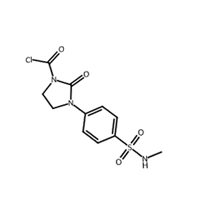 CNS(=O)(=O)c1ccc(N2CCN(C(=O)Cl)C2=O)cc1